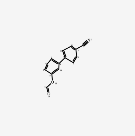 N#Cc1ccc(-c2cccc(OC=O)c2)cc1